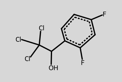 OC(c1ccc(F)cc1F)C(Cl)(Cl)Cl